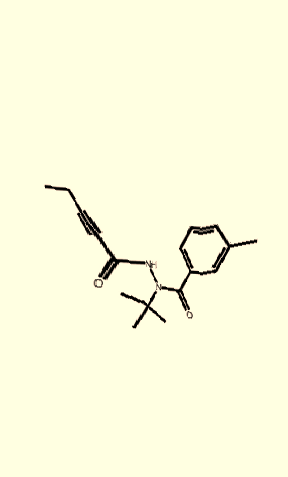 CCC#CC(=O)NN(C(=O)c1cccc(C)c1)C(C)(C)C